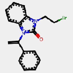 C=C(c1ccccc1)n1c(=O)n(CCBr)c2ccccc21